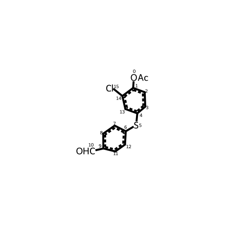 CC(=O)Oc1ccc(Sc2ccc(C=O)cc2)cc1Cl